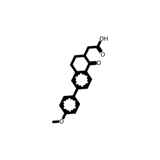 COc1ccc(-c2ccc3c(c2)CCC(CC(=O)O)C3=O)cc1